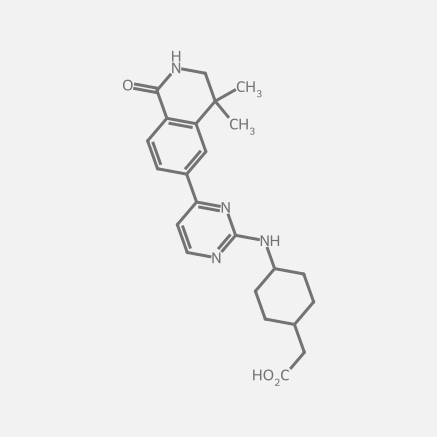 CC1(C)CNC(=O)c2ccc(-c3ccnc(NC4CCC(CC(=O)O)CC4)n3)cc21